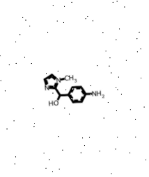 Cn1ccnc1C(O)c1ccc(N)cc1